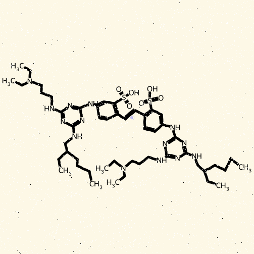 CCCCC(CC)CNc1nc(NCCCN(CC)CC)nc(Nc2ccc(/C=C/c3ccc(Nc4nc(NCCCN(CC)CC)nc(NCC(CC)CCCC)n4)cc3S(=O)(=O)O)c(S(=O)(=O)O)c2)n1